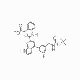 COC(=O)Cc1ccccc1NC(=O)c1cc(-c2cc(F)cc(CNC(=O)OC(C)(C)C)c2)c2cc[nH]c2c1